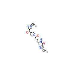 Cc1cc2c(=O)[nH]c(CCCC(=O)N3CCC(C(=O)c4cnn(C)c4)CC3)cn2n1